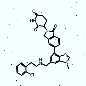 Cn1cnc2c(-c3ccc4c(c3)CN(C3CCC(=O)NC3=O)C4=O)cc(CNCCc3ccccc3Cl)cc21